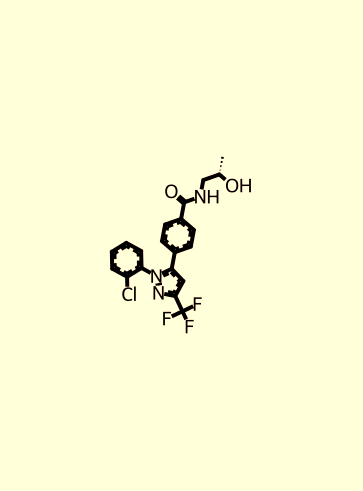 C[C@H](O)CNC(=O)c1ccc(-c2cc(C(F)(F)F)nn2-c2ccccc2Cl)cc1